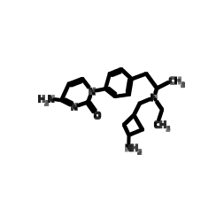 CCN(CC1CC(N)C1)C(C)Cc1ccc(-n2ccc(N)nc2=O)cc1